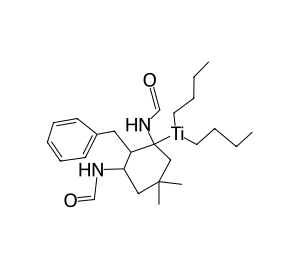 CCC[CH2][Ti]([CH2]CCC)[C]1(NC=O)CC(C)(C)CC(NC=O)C1Cc1ccccc1